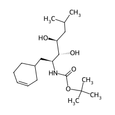 CC(C)C[C@H](O)[C@H](O)[C@H](CC1CC=CCC1)NC(=O)OC(C)(C)C